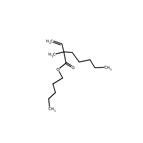 C=CC(C)(CCCCC)C(=O)OCCCCC